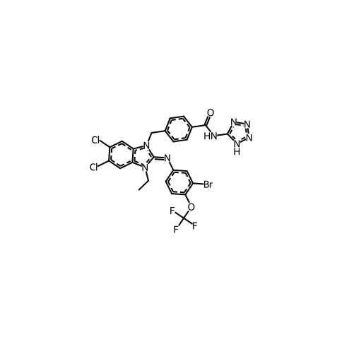 CCn1c(=Nc2ccc(OC(F)(F)F)c(Br)c2)n(Cc2ccc(C(=O)Nc3nnn[nH]3)cc2)c2cc(Cl)c(Cl)cc21